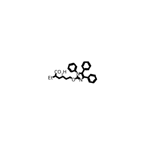 CCC(CCCCOc1nc(-c2ccccc2)c(-c2ccccc2)n1-c1ccccc1)C(=O)O